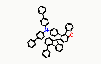 c1ccc(-c2ccc(N(c3ccc(-c4ccccc4)cc3)c3ccc4c(c3)[C@@]3(c5ccccc5-c5c(-c6ccccc6)cccc53)c3ccc5oc6ccccc6c5c3-4)cc2)cc1